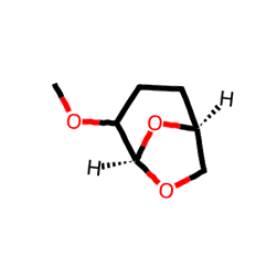 COC1CC[C@H]2CO[C@@H]1O2